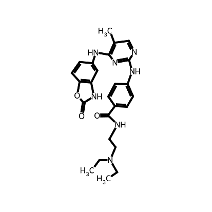 CCN(CC)CCNC(=O)c1ccc(Nc2ncc(C)c(Nc3ccc4oc(=O)[nH]c4c3)n2)cc1